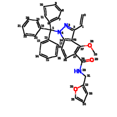 C=Cc1nn(C(c2ccccc2)(c2ccccc2)c2ccccc2)c2ccc(C(=O)NCc3ccco3)c(OC)c12